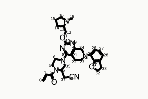 C=CC(=O)N1CCN(c2nc(OCC3CCCN3C)nc3c2CCN(c2cccc4c2OCC4)C3)CC1CC#N